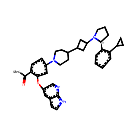 COC(=O)c1ccc(N2CCC(C3CC(N4CCC[C@H]4c4ccccc4C4CC4)C3)CC2)cc1Oc1cnc2[nH]ccc2c1